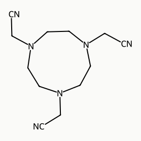 N#CCN1CCN(CC#N)CCN(CC#N)CC1